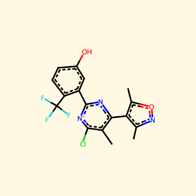 Cc1noc(C)c1-c1nc(-c2cc(O)ccc2C(F)(F)F)nc(Cl)c1C